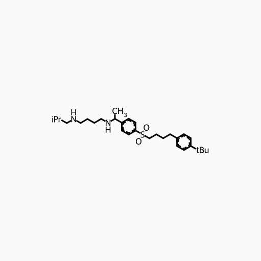 CC(C)CNCCCCNC(C)c1ccc(S(=O)(=O)CCCCc2ccc(C(C)(C)C)cc2)cc1